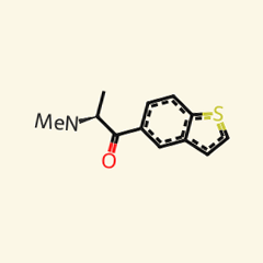 CN[C@@H](C)C(=O)c1ccc2sccc2c1